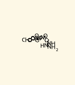 N=C(N)N[C@H]1CC[C@H](C(=O)N2CCN(S(=O)(=O)c3ccc4cc(Cl)ccc4c3)CC2)CC1